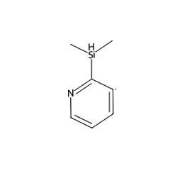 C[SiH](C)c1[c]cccn1